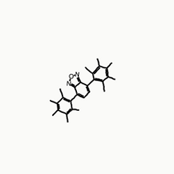 Cc1c(C)c(C)c(-c2ccc(-c3c(C)c(C)c(C)c(C)c3C)c3nonc23)c(C)c1C